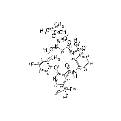 Cc1cc(F)ccc1Oc1ncc(C(F)(F)F)cc1C(=O)Nc1cccc(S(C)(=O)=NC(=O)CN(C)C(=O)OC(C)(C)C)c1